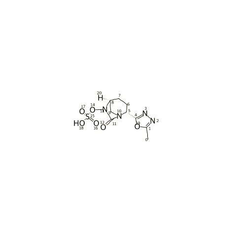 Cc1nnc([C@H]2CC[C@H]3CN2C(=O)N3OS(=O)(=O)O)o1